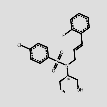 CC(C)C[C@H](CO)N(CC=Cc1ccccc1F)S(=O)(=O)c1ccc(Cl)cc1